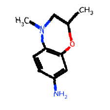 CC1CN(C)c2ccc(N)cc2O1